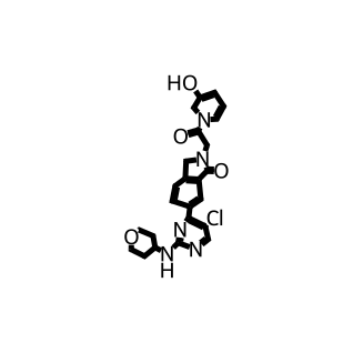 O=C(CN1Cc2ccc(-c3nc(NC4CCOCC4)ncc3Cl)cc2C1=O)N1C=CC=C(O)C1